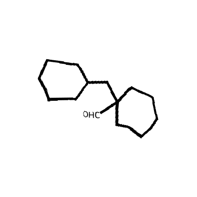 O=CC1(CC2CCCCC2)CCCCC1